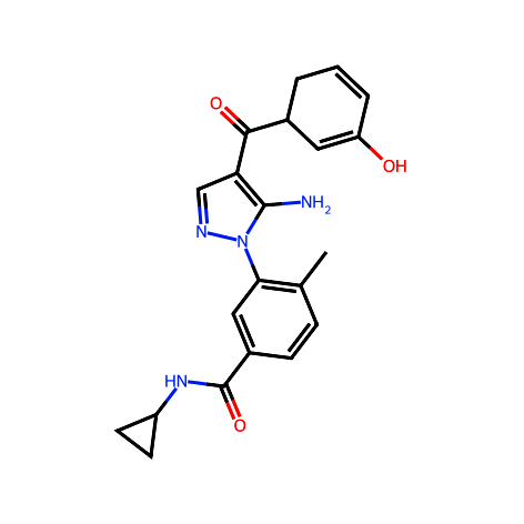 Cc1ccc(C(=O)NC2CC2)cc1-n1ncc(C(=O)C2C=C(O)C=CC2)c1N